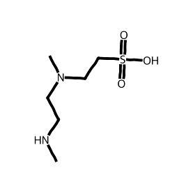 CNCCN(C)CCS(=O)(=O)O